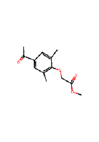 COC(=O)COc1c(C)cc(C(C)=O)cc1C